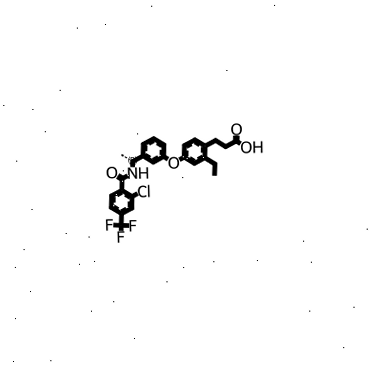 CCc1cc(Oc2cccc([C@@H](C)NC(=O)c3ccc(C(F)(F)F)cc3Cl)c2)ccc1CCC(=O)O